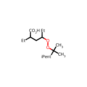 CCCC(C)C(C)(C)OOC(CC)CC(CC)C(=O)O